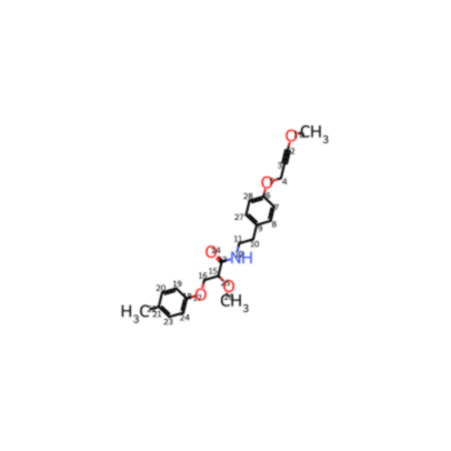 COC#CCOc1ccc(CCNC(=O)C(COc2ccc(C)cc2)OC)cc1